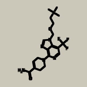 C[Si](C)(C)CCOCn1cnc2c(N3CC=C(C(N)=O)CC3)ncc(C(F)(F)F)c21